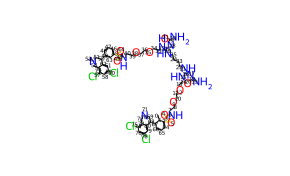 CC1C(S(=O)(=O)NCCOCCOCCN/C(=N\C(N)=O)NCCCCN/C(=N/C(N)=O)NCCOCCOCCNS(=O)(=O)c2cccc([C@@H]3CN(C)Cc4c(Cl)cc(Cl)cc43)c2)=CC=CC1[C@@H]1CN(C)Cc2c(Cl)cc(Cl)cc21